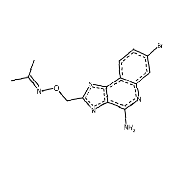 CC(C)=NOCc1nc2c(N)nc3cc(Br)ccc3c2s1